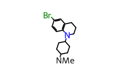 CNC1CCC(N2CCCc3cc(Br)ccc32)CC1